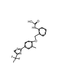 Cc1cc(-c2nc(C(F)(F)F)cs2)ccc1OCc1ccccc1NC(=O)O